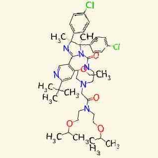 CCOc1cc(C(C)(C)C)ncc1C1=N[C@@](C)(c2ccc(Cl)cc2)[C@@](C)(c2ccc(Cl)cc2)N1C(=O)N1CCN(CC(=O)N(CCOC(C)C)CCOC(C)C)CC1